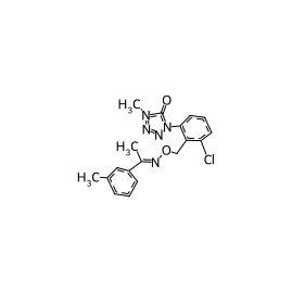 CC(=NOCc1c(Cl)cccc1-n1nnn(C)c1=O)c1cccc(C)c1